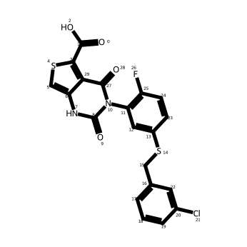 O=C(O)c1scc2[nH]c(=O)n(-c3cc(SCc4cccc(Cl)c4)ccc3F)c(=O)c12